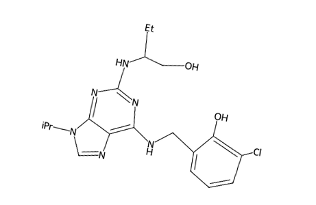 CCC(CO)Nc1nc(NCc2cccc(Cl)c2O)c2ncn(C(C)C)c2n1